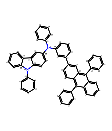 c1ccc(-c2c3ccccc3c(-c3ccccc3)c3cc(-c4cccc(N(c5ccccc5)c5ccc6c(c5)c5ccccc5n6-c5ccccc5)c4)ccc23)cc1